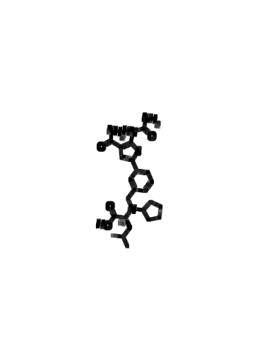 CC(C)C[C@@H](C(=O)O)N(Cc1cccc(-c2cc(C(N)=O)c(NC(N)=O)s2)c1)C1CCCC1